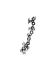 O=C1CCC(N2C(=O)c3ccc(N4CCN(C(=O)CC5CCN(c6ncc(-c7ccc8c9cnccc9n(C(F)F)c8c7)cc6F)CC5)CC4)cc3C2=O)C(=O)N1